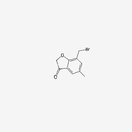 Cc1cc(CBr)c2c(c1)C(=O)CO2